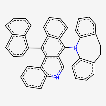 c1ccc2c(c1)CCc1ccccc1N2c1c2ccccc2c(-c2cccc3ccccc23)c2c1cnc1ccccc12